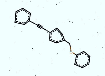 C(#Cc1ccc(CSc2ccccc2)cc1)c1ccccc1